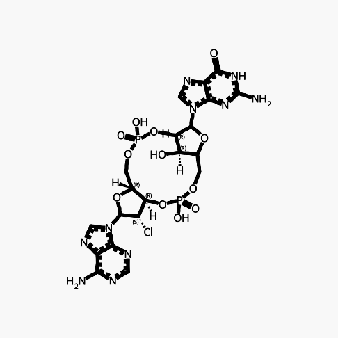 Nc1nc2c(ncn2C2OC3COP(=O)(O)O[C@H]4[C@H](Cl)C(n5cnc6c(N)ncnc65)O[C@@H]4COP(=O)(O)O[C@@H]2[C@@H]3O)c(=O)[nH]1